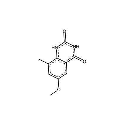 COc1cc(C)c2[nH]c(=O)[nH]c(=O)c2c1